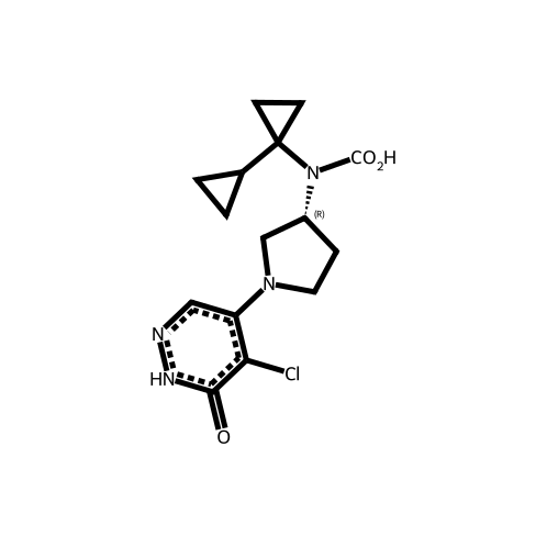 O=C(O)N([C@@H]1CCN(c2cn[nH]c(=O)c2Cl)C1)C1(C2CC2)CC1